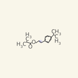 CC(C)C(=O)OC/C=C/c1ccc(C(C)C)cc1